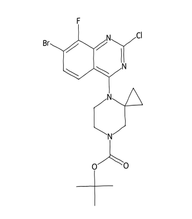 CC(C)(C)OC(=O)N1CCN(c2nc(Cl)nc3c(F)c(Br)ccc23)C2(CC2)C1